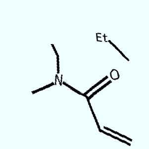 C=CC(=O)N(C)C.CCC